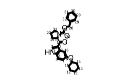 O=C(c1c[nH]c2ccc(OC3CCCCC3)cc12)[C@H]1CCCN1C(=O)OCc1ccccc1